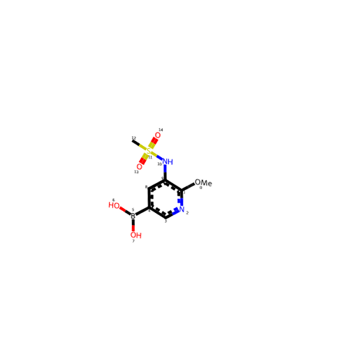 COc1ncc(B(O)O)cc1NS(C)(=O)=O